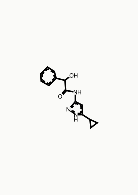 O=C(Nc1cc(C2CC2)[nH]n1)C(O)c1ccccc1